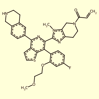 C=CC(=O)N1CCc2nc(-c3nc(-c4ccc5c(c4)CCNC5)c4ccsc4c3-c3ccc(F)cc3OCCOC)n(C)c2C1